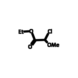 CCOC(=O)C(Cl)OC